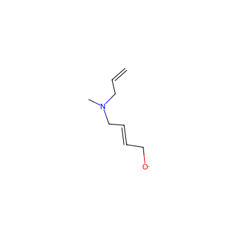 C=CCN(C)C/C=C/C[O]